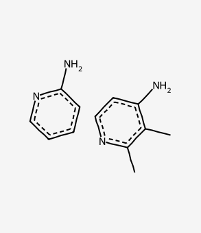 Cc1nccc(N)c1C.Nc1ccccn1